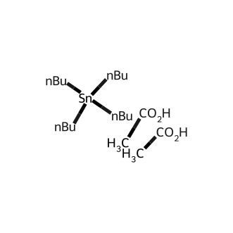 CC(=O)O.CC(=O)O.CCC[CH2][Sn]([CH2]CCC)([CH2]CCC)[CH2]CCC